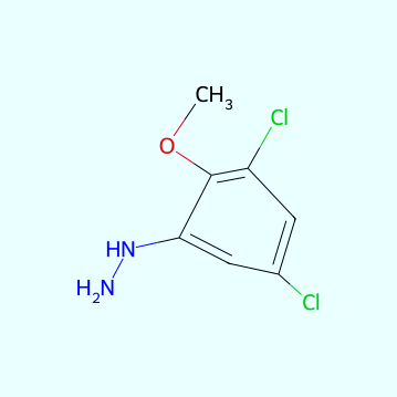 COc1c(Cl)cc(Cl)cc1NN